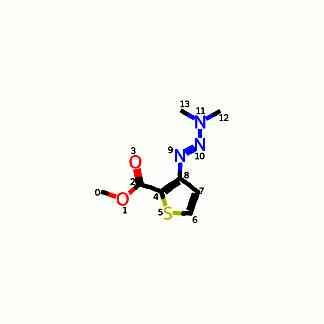 COC(=O)c1sccc1/N=N/N(C)C